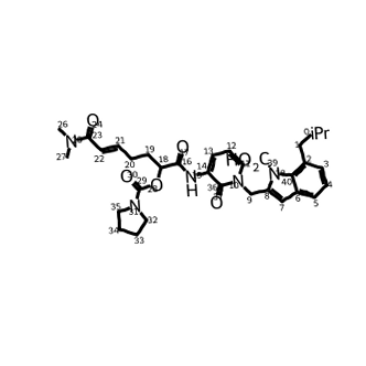 CC(C)Cc1cccc2cc(Cn3cccc(NC(=O)C(CCC=CC(=O)N(C)C)OC(=O)N4CCCC4)c3=O)n(C(=O)O)c12